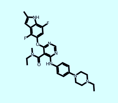 CCN1CCN(c2ccc(Nc3ncnc(Oc4cc(F)c5[nH]c(C)cc5c4F)c3C(=O)N(C)CC)cc2)CC1